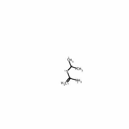 C=C(N)SC(C)C